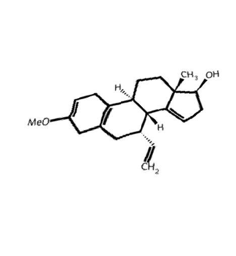 C=C[C@@H]1CC2=C(CC=C(OC)C2)[C@H]2CC[C@@]3(C)C(=CC[C@@H]3O)[C@H]12